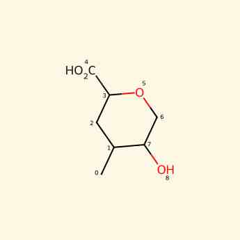 CC1CC(C(=O)O)OCC1O